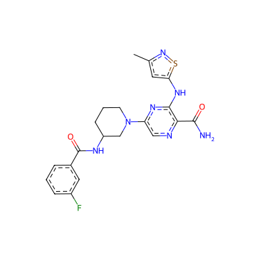 Cc1cc(Nc2nc(N3CCCC(NC(=O)c4cccc(F)c4)C3)cnc2C(N)=O)sn1